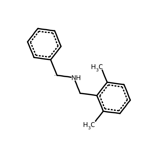 Cc1cccc(C)c1CN[CH]c1ccccc1